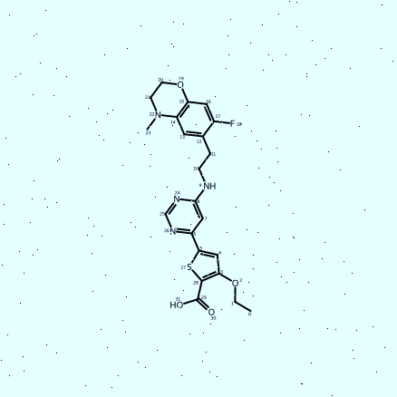 CCOc1cc(-c2cc(NCCc3cc4c(cc3F)OCCN4C)ncn2)sc1C(=O)O